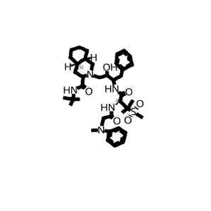 CN(CC(=O)N[C@H](C(=O)NC(Cc1ccccc1)C(O)CN1C[C@H]2CCCC[C@H]2CC1C(=O)NC(C)(C)C)C(C)(C)S(C)(=O)=O)c1ccccc1